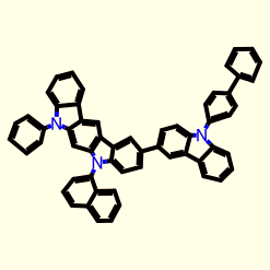 c1ccc(-c2ccc(-n3c4ccccc4c4cc(-c5ccc6c(c5)c5cc7c8ccccc8n(-c8ccccc8)c7cc5n6-c5cccc6ccccc56)ccc43)cc2)cc1